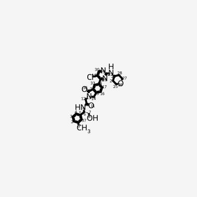 Cc1cccc([C@@H](CO)NC(=O)CN2Cc3ccc(-c4nc(NC5CCOCC5)ncc4Cl)cc3C2=O)c1